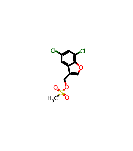 CS(=O)(=O)OCc1coc2c(Cl)cc(Cl)cc12